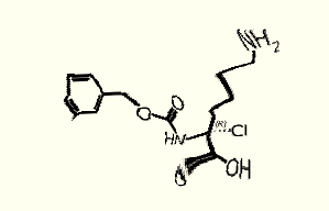 NCCCC[C@](Cl)(NC(=O)OCc1ccccc1)C(=O)O